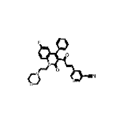 N#Cc1cncc(/C=C/C(=O)c2c(-c3ccccc3)c3cc(F)ccc3n(CCN3CCOCC3)c2=O)c1